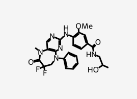 COc1cc(C(=O)NCC(C)O)ccc1Nc1ncc2c(n1)N(c1ccccc1)CC(F)(F)C(=O)N2C